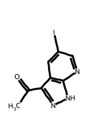 CC(=O)c1n[nH]c2ncc(I)cc12